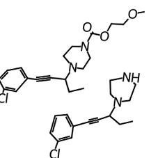 CCC(C#Cc1cccc(Cl)c1)N1CCN(C(=O)OCCOC)CC1.CCC(C#Cc1cccc(Cl)c1)N1CCNCC1